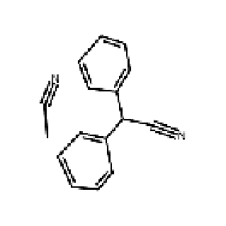 CC#N.N#CC(c1ccccc1)c1ccccc1